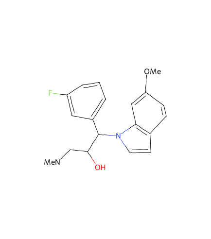 CNCC(O)C(c1cccc(F)c1)n1ccc2ccc(OC)cc21